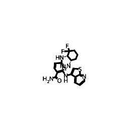 NC(=O)c1ccc(N[C@H]2[C@@H](N)CCCC2(F)F)nc1Nc1csc2ncccc12